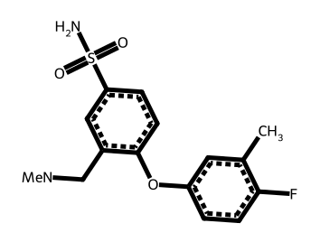 CNCc1cc(S(N)(=O)=O)ccc1Oc1ccc(F)c(C)c1